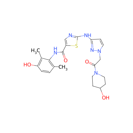 Cc1ccc(O)c(C)c1NC(=O)c1cnc(Nc2ccn(CC(=O)N3CCC(O)CC3)n2)s1